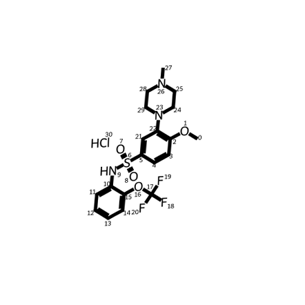 COc1ccc(S(=O)(=O)Nc2ccccc2OC(F)(F)F)cc1N1CCN(C)CC1.Cl